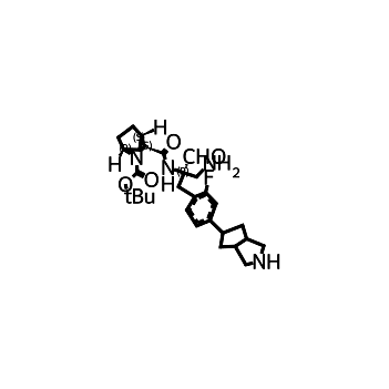 CC(C)(C)OC(=O)N1[C@@H]2CC[C@@H](C2)[C@H]1C(=O)N[C@@](C=O)(CN)Cc1ccc(C2CC3CNCC3C2)cc1F